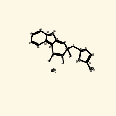 Br.CC1=C(C)C(C)(Cc2ccc([N+](=O)[O-])o2)C=C2N=c3ccccc3=C21